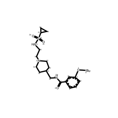 CC(C)(C)Oc1cccc(C(=O)NCC2CCN(CCNS(=O)(=O)C3CC3)CC2)c1